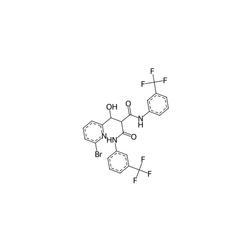 O=C(Nc1cccc(C(F)(F)F)c1)C(C(=O)Nc1cccc(C(F)(F)F)c1)C(O)c1cccc(Br)n1